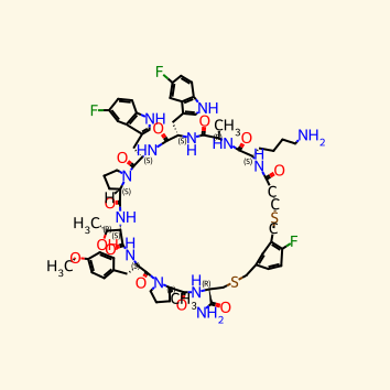 COc1ccc(C[C@@H]2NC(=O)[C@H]([C@@H](C)O)NC(=O)[C@@H]3CCCN3C(=O)[C@H](Cc3c[nH]c4ccc(F)cc34)NC(=O)[C@H](Cc3c[nH]c4ccc(F)cc34)NC(=O)[C@@H](C)NC(=O)[C@H](CCCCN)NC(=O)CCSCc3cc(ccc3F)CSC[C@@H](C(N)=O)NC(=O)[C@]3(C)CCCN3C2=O)cc1